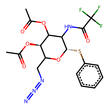 CC(=O)OC1C(NC(=O)C(F)(F)F)[C@H](Sc2ccccc2)OC(CN=[N+]=[N-])[C@H]1OC(C)=O